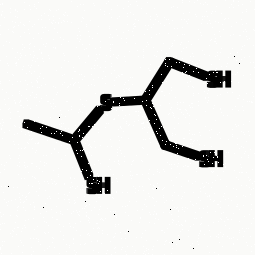 CC(S)SC(CS)CS